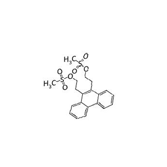 CS(=O)(=O)OCCc1c(CCOS(C)(=O)=O)c2ccccc2c2ccccc12